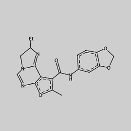 CCC1CN2C=Nc3oc(C)c(C(=O)Nc4ccc5c(c4)OCO5)c3C2=N1